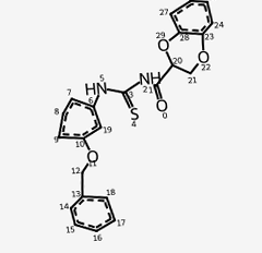 O=C(NC(=S)Nc1cccc(OCc2ccccc2)c1)C1COc2ccccc2O1